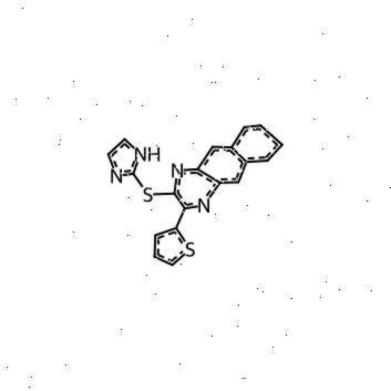 c1csc(-c2nc3cc4ccccc4cc3nc2Sc2ncc[nH]2)c1